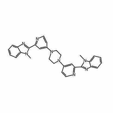 Cn1c(-c2cc(N3CCN(c4ccnc(-c5nc6ccccc6n5C)c4)CC3)ccn2)nc2ccccc21